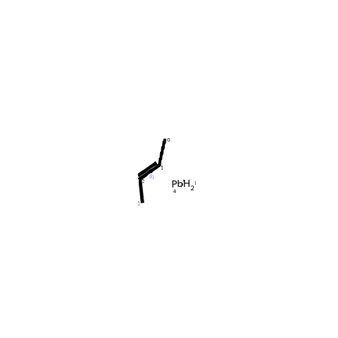 C/C=C/C.[PbH2]